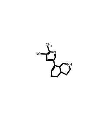 Cc1ncc(C2=CCCC3CCNCC23)cc1C#N